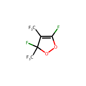 FC1=C(C(F)(F)F)C(F)(C(F)(F)F)OO1